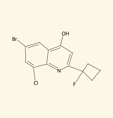 Oc1cc(C2(F)CCC2)nc2c(Cl)cc(Br)cc12